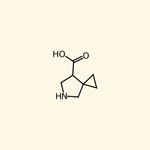 O=C(O)C1CNCC12CC2